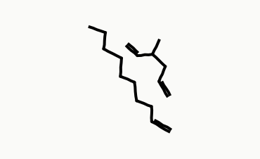 C=CCC(C)C=C.C=CCCCCCCCC